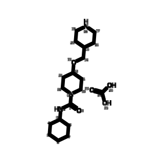 O=C(NC1CCCCC1)N1CCC(OCC2CCNCC2)CC1.O=C(O)O